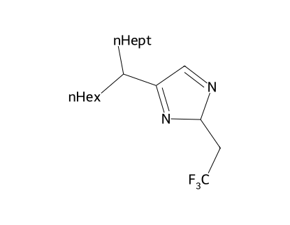 CCCCCCCC(CCCCCC)C1=NC(CC(F)(F)F)N=C1